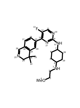 COCCNC1CCC(Nc2ncc(F)c(-c3ccc4c(c3)C(C)(C)CN=C4)n2)CC1